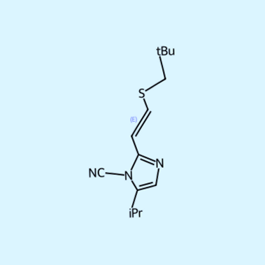 CC(C)c1cnc(/C=C/SCC(C)(C)C)n1C#N